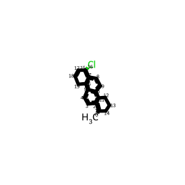 CC1=c2ccc3c4c(ccc3c2CCC1)=C(Cl)C=CC4